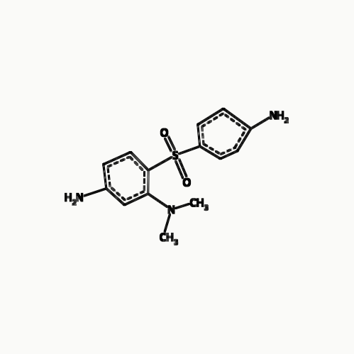 CN(C)c1cc(N)ccc1S(=O)(=O)c1ccc(N)cc1